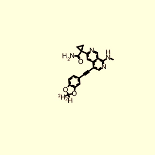 [2H]C1([2H])Oc2ccc(C#Cc3cnc(NC)c4cnc(C5(C(N)=O)CC5)cc34)cc2O1